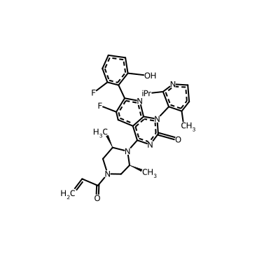 C=CC(=O)N1C[C@@H](C)N(c2nc(=O)n(-c3c(C)ccnc3C(C)C)c3nc(-c4c(O)cccc4F)c(F)cc23)[C@@H](C)C1